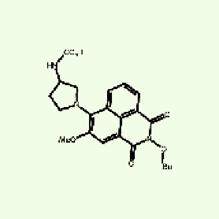 COc1cc2c3c(cccc3c1N1CCC(NC(=O)O)C1)C(=O)N(OC(C)(C)C)C2=O